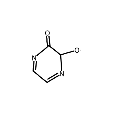 [O]C1N=CC=NC1=O